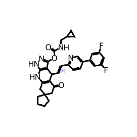 O=C(NCC1CC1)Oc1n[nH]c2c1C(/C=C/c1ccc(-c3cc(F)cc(F)c3)cn1)C1=C(CC3(CCCC3)CC1=O)N2